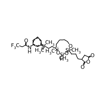 C[SiH]1O[Si](C)(CC[Si](C)(C)c2cccc(NC(=O)CC(F)(F)F)c2)CCCCO[Si](C)(CCCC2CC(=O)OC2=O)O1